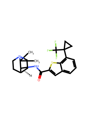 CC1(C)[C@@H](NC(=O)c2cc3cccc(C4(C(F)(F)F)CC4)c3s2)C2CCN1CC2